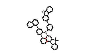 CC1(C)c2ccccc2-c2ccc(N(c3cccc(-c4ccc5oc6ccccc6c5c4)c3)c3cc(-c4cccc5ccccc45)ccc3-c3ccccc3)cc21